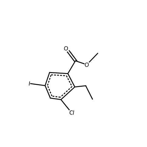 CCc1c(Cl)cc(I)cc1C(=O)OC